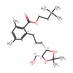 Cc1cc(C)c(C(=O)OCC[Si](C)(C)C)c(CCC[C@@H]2OC(C)(C)O[C@@H]2CO)c1